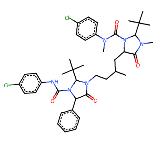 CC(CCN1C(=O)C(c2ccccc2)N(C(=O)Nc2ccc(Cl)cc2)C1C(C)(C)C)CC1C(=O)N(C)C(C(C)(C)C)N1C(=O)N(C)c1ccc(Cl)cc1